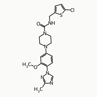 COc1cc(N2CCN(C(=O)NCc3ccc(Cl)s3)CC2)ccc1-n1cnc(C)n1